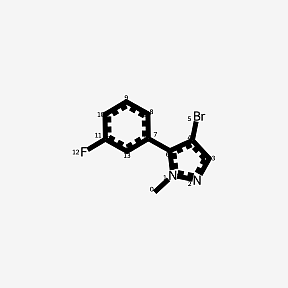 Cn1ncc(Br)c1-c1cccc(F)c1